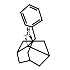 O[C@]12CC3CC(C1)[C@H](Cc1ccccc1)C(C3)C2